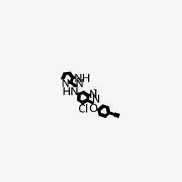 C#Cc1ccc(Oc2nn(C)c3cc(Nc4n[nH]c5cccnc45)cc(Cl)c23)cc1